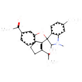 CCCC1N(C)c2cc(C(=O)O)ccc2C1(Oc1cccc(C(=O)OC)c1)C1=C(C(=O)OC)CCC1